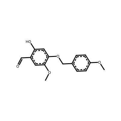 COc1ccc(COc2cc(O)c(C=O)cc2OC)cc1